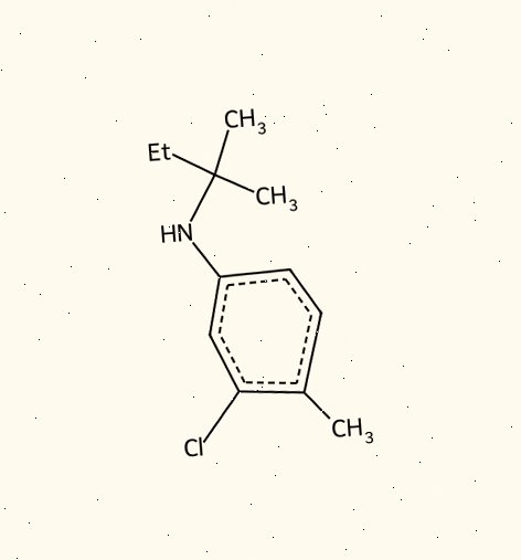 CCC(C)(C)Nc1ccc(C)c(Cl)c1